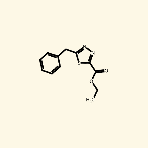 CCOC(=O)c1nnc(Cc2ccccc2)s1